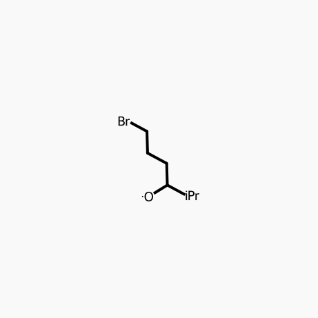 CC(C)C([O])CCCBr